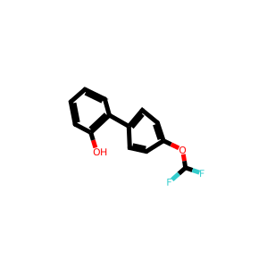 Oc1ccc[c]c1-c1ccc(OC(F)F)cc1